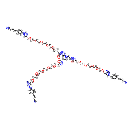 N#CC#Cc1ccc(-n2cc(COCCOCCOCCOCCOCCC(=O)NCCN(CCNC(=O)CCOCCOCCOCCOCCOCc3cn(-c4ccc(C#CC#N)cc4)nn3)CCNC(=O)CCOCCOCCOCCOCCOCc3cn(-c4ccc(C#CC#N)cc4)nn3)nn2)cc1